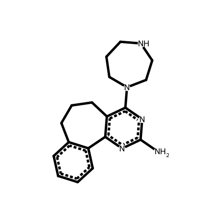 Nc1nc2c(c(N3CCCNCC3)n1)CCCc1ccccc1-2